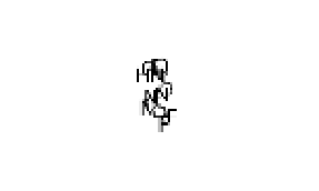 CC(NS(C)(=O)=O)C1CCCN(c2ncnc3cc(F)c(F)cc23)C1